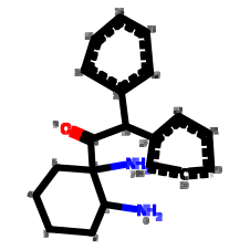 NC1CCCCC1(N)C(=O)C(c1ccccc1)c1ccccc1